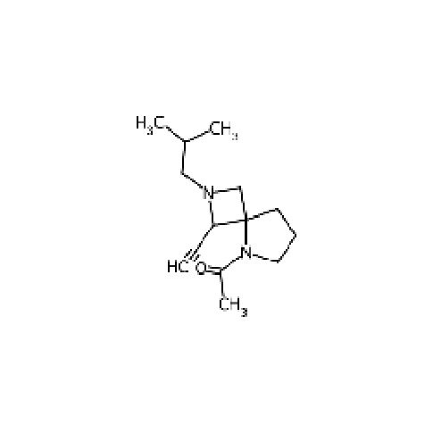 C#CC1N(CC(C)C)CC12CCCN2C(C)=O